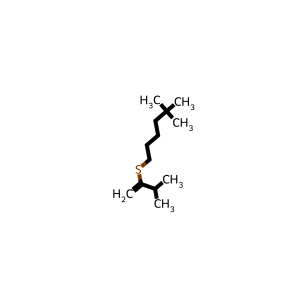 C=C(SCCCCC(C)(C)C)C(C)C